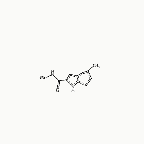 Cc1ccc2[nH]c(C(=O)NC(C)(C)C)cc2c1